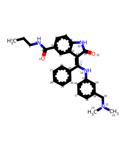 CCCNC(=O)c1ccc2c(c1)/C(=C(/Nc1cccc(CN(C)C)c1)c1ccccc1)C(=O)N2